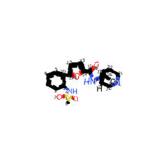 CS(=O)(=O)Nc1ccccc1-c1ccc(C(=O)N[C@H]2CN3CCC2CC3)o1